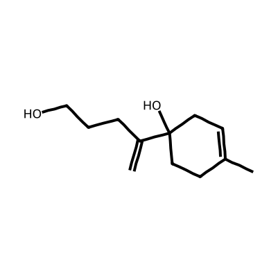 C=C(CCCO)C1(O)CC=C(C)CC1